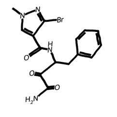 Cn1cc(C(=O)NC(Cc2ccccc2)C(=O)C(N)=O)c(Br)n1